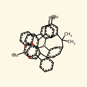 CC(C)(C)c1cc2cc(c1)C(C)(C)c1ccc(c(N(c3ccc(C(C)(C)C)cc3-c3ccccc3)c3ccc(C(C)(C)C)cc3-c3ccccc3)c1)-c1cccc3cccc-2c13